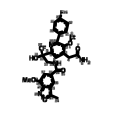 CCOc1c(CC(N)=O)cc([C@@](O)(CNC(=O)c2cc(OC)c3noc(C)c3c2)C(F)(F)F)nc1-c1ccc(F)cc1